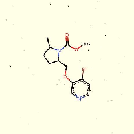 C[C@@H]1CC[C@H](COc2cnccc2Br)N1C(=O)OC(C)(C)C